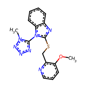 COc1cccnc1CSc1nc2ccccc2n1-c1nnnn1C